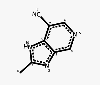 Cc1nc2cncc(C#N)c2[nH]1